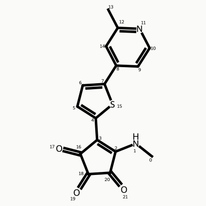 CNc1c(-c2ccc(-c3ccnc(C)c3)s2)c(=O)c(=O)c1=O